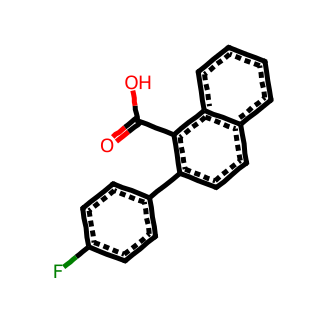 O=C(O)c1c(-c2ccc(F)cc2)ccc2ccccc12